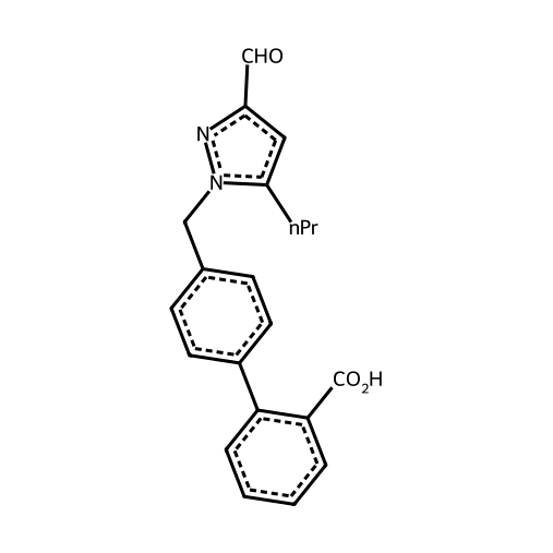 CCCc1cc(C=O)nn1Cc1ccc(-c2ccccc2C(=O)O)cc1